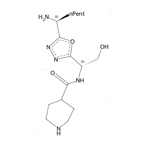 CCCCC[C@H](N)c1nnc([C@H](CO)NC(=O)C2CCNCC2)o1